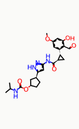 COc1cc(O)c(C=O)c([C@@H]2C[C@H]2C(=O)Nc2cc([C@H]3CC[C@@H](OC(=O)NC(C)C)C3)[nH]n2)c1